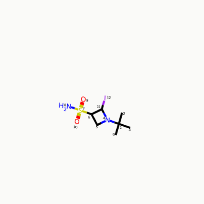 CC(C)(C)N1CC(S(N)(=O)=O)C1I